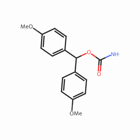 COc1ccc(C(OC([NH])=O)c2ccc(OC)cc2)cc1